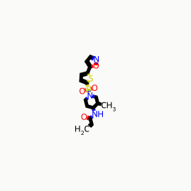 C=CC(=O)NC1CCN(S(=O)(=O)c2ccc(-c3ccno3)s2)CC1C